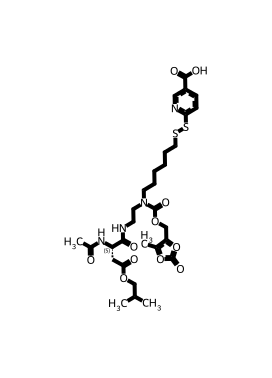 CC(=O)N[C@@H](CC(=O)OCC(C)C)C(=O)NCCN(CCCCCCSSc1ccc(C(=O)O)cn1)C(=O)OCc1oc(=O)oc1C